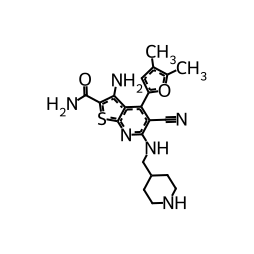 Cc1cc(-c2c(C#N)c(NCC3CCNCC3)nc3sc(C(N)=O)c(N)c23)oc1C